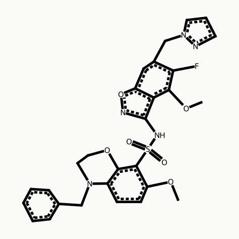 COc1ccc2c(c1S(=O)(=O)Nc1noc3cc(Cn4cccn4)c(F)c(OC)c13)OCCN2Cc1ccccc1